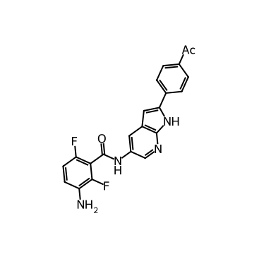 CC(=O)c1ccc(-c2cc3cc(NC(=O)c4c(F)ccc(N)c4F)cnc3[nH]2)cc1